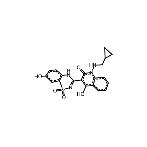 O=c1c(C2=NS(=O)(=O)c3cc(O)ccc3N2)c(O)c2ccccc2n1NCC1CC1